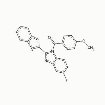 COc1ccc(C(=O)n2c(-c3cc4ccccc4s3)nc3cc(F)ccc32)cc1